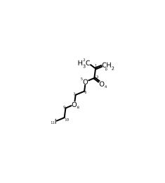 C=C(C)C(=O)OCCOCCI